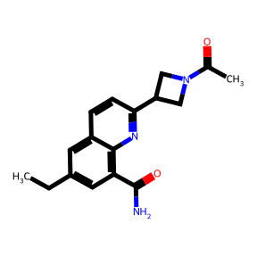 CCc1cc(C(N)=O)c2nc(C3CN(C(C)=O)C3)ccc2c1